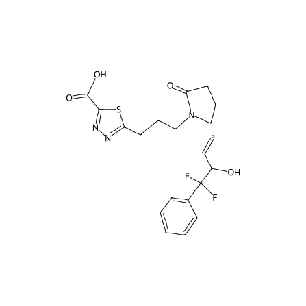 O=C(O)c1nnc(CCCN2C(=O)CC[C@@H]2/C=C/C(O)C(F)(F)c2ccccc2)s1